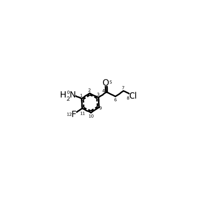 Nc1cc(C(=O)CCCl)ccc1F